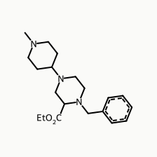 CCOC(=O)C1CN(C2CCN(C)CC2)CCN1Cc1ccccc1